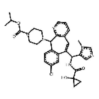 CC(C)OC(=O)N1CCN(C2c3ccc(Cl)cc3C(C(NC(=O)C3(O)CC3)c3cncn3C)=Cc3cccnc32)CC1